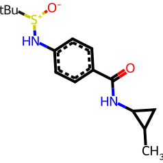 CC1CC1NC(=O)c1ccc(N[S+]([O-])C(C)(C)C)cc1